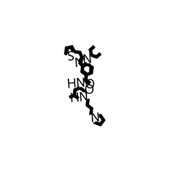 CCC(CC)n1c(Cc2cccs2)nc2cc(C(=O)NC(CC(C)C)C(=O)NCCCCN3CCCC3)ccc21